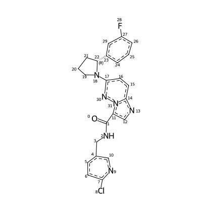 O=C(NCc1ccc(Cl)nc1)c1cnc2ccc(N3CCC[C@@H]3c3cccc(F)c3)nn12